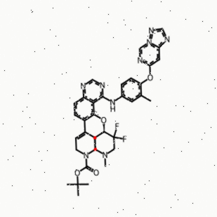 Cc1cc(Nc2ncnc3ccc(C4=CCN(C(=O)OC(C)(C)C)CC4)c(O[C@@H]4CCN(C)CC4(F)F)c23)ccc1Oc1cc2ncnn2cn1